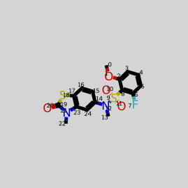 COc1cccc(F)c1S(=O)(=O)N(C)c1ccc2sc(=O)n(C)c2c1